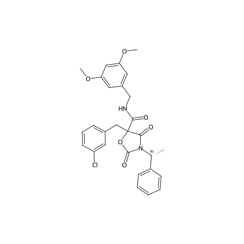 COc1cc(CNC(=O)C2(Cc3cccc(Cl)c3)OC(=O)N([C@H](C)c3ccccc3)C2=O)cc(OC)c1